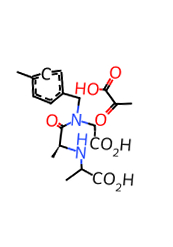 CC(=O)C(=O)O.Cc1ccc(CN(CC(=O)O)C(=O)[C@H](C)NC(C)C(=O)O)cc1